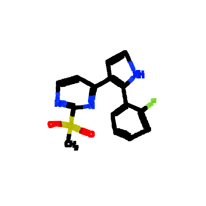 CS(=O)(=O)c1nccc(-c2cc[nH]c2-c2ccccc2F)n1